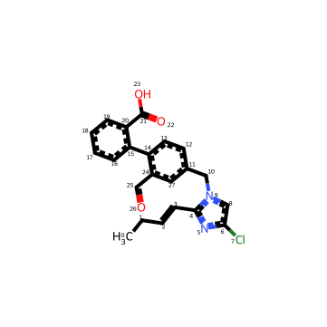 CC/C=C/c1nc(Cl)cn1Cc1ccc(-c2ccccc2C(=O)O)c(C=O)c1